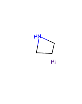 C1CNC1.I